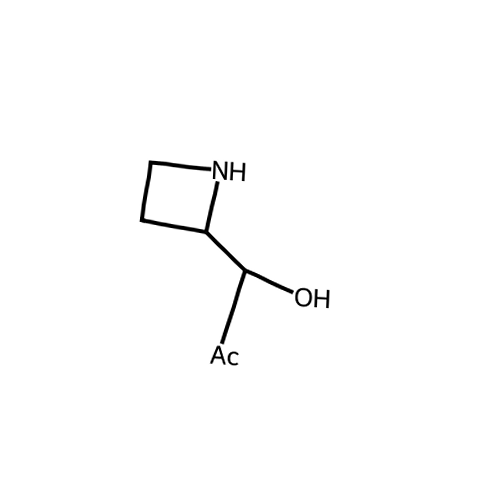 CC(=O)C(O)C1CCN1